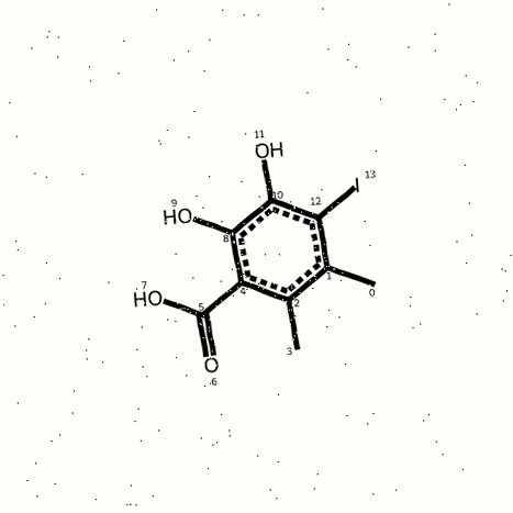 Cc1c(C)c(C(=O)O)c(O)c(O)c1I